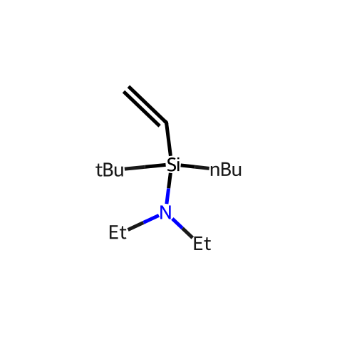 C=C[Si](CCCC)(N(CC)CC)C(C)(C)C